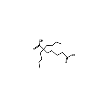 CCCCC(CCCC)(CSCCC(=O)O)C(=O)O